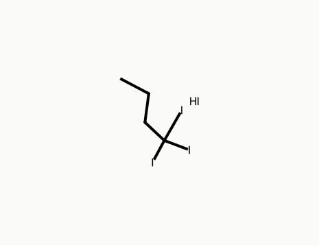 CCCC(I)(I)I.I